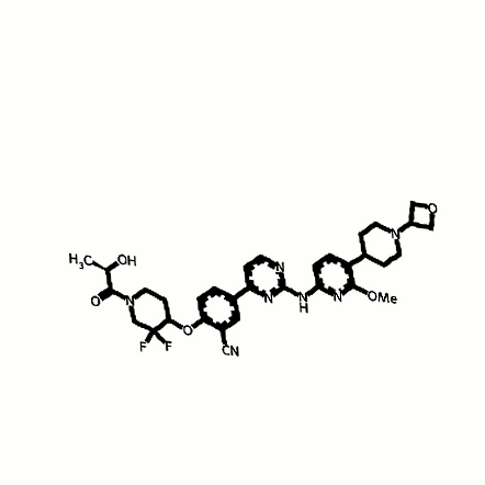 COc1nc(Nc2nccc(-c3ccc(OC4CCN(C(=O)[C@@H](C)O)CC4(F)F)c(C#N)c3)n2)ccc1C1CCN(C2COC2)CC1